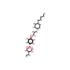 CCCCC[C@H]1CC[C@H](CCCOc2ccc([C@H]3OC[C@H](CC)CO3)cc2)CC1